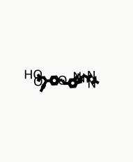 CC#CC(CC(=O)O)c1ccc(OCc2ccc3cn(Cc4cnc(C)cn4)nc3c2)cc1